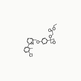 CCOC(=O)COC1(c2ccc(OCc3cccc(-c4cccc(Cl)c4C)n3)cc2)COC1